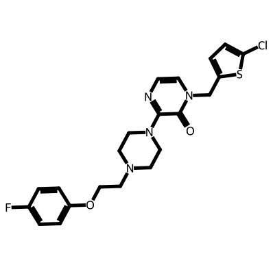 O=c1c(N2CCN(CCOc3ccc(F)cc3)CC2)nccn1Cc1ccc(Cl)s1